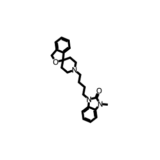 Cn1c(=O)n(CCCCN2CCC3(CC2)OCc2ccccc23)c2ccccc21